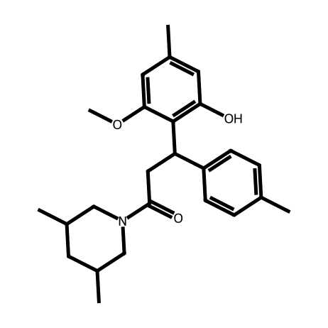 COc1cc(C)cc(O)c1C(CC(=O)N1CC(C)CC(C)C1)c1ccc(C)cc1